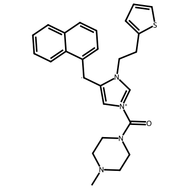 CN1CCN(C(=O)[n+]2cc([CH]c3cccc4ccccc34)n(CCc3cccs3)c2)CC1